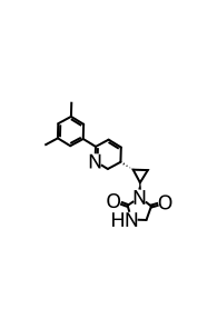 Cc1cc(C)cc(C2=NCC([C@@H]3C[C@H]3N3C(=O)CNC3=O)C=C2)c1